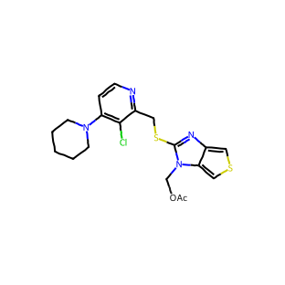 CC(=O)OCn1c(SCc2nccc(N3CCCCC3)c2Cl)nc2cscc21